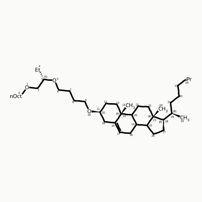 CCCCCCCCOC[C@H](CC)OCCCCO[C@H]1CC[C@@]2(C)C(=CCC3C2CC[C@@]2(C)C3CC[C@@H]2[C@H](C)CCCC(C)C)C1